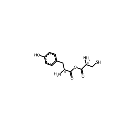 N[C@@H](CS)C(=O)OC(=O)[C@@H](N)Cc1ccc(O)cc1